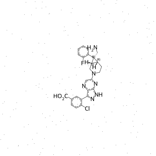 NC[C@]1(c2ccccc2F)[C@@H]2CCN(c3cnc4c(-c5cc(C(=O)O)ccc5Cl)n[nH]c4n3)C[C@@H]21